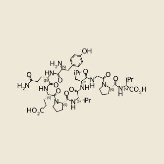 CC(C)C[C@H](NC(=O)[C@@H](NC(=O)[C@@H]1CCCN1C(=O)[C@H](CCC(=O)O)NC(=O)[C@H](CCC(N)=O)NC(=O)[C@@H](N)Cc1ccc(O)cc1)C(C)C)C(=O)NCC(=O)N1CCC[C@H]1C(=O)N[C@H](C(=O)O)C(C)C